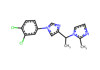 Cc1nccn1C(C)c1cn(-c2ccc(Cl)c(Cl)c2)cn1